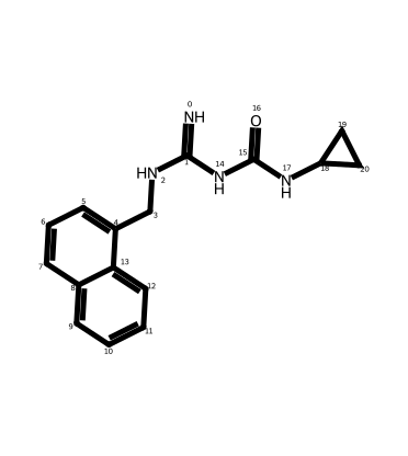 N=C(NCc1cccc2ccccc12)NC(=O)NC1CC1